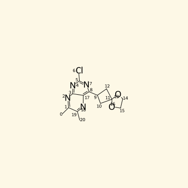 Cc1nc2nc(Cl)nc(C3CC4(C3)OCCO4)c2nc1C